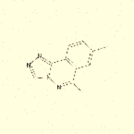 Cc1ccc2c(c1)c(C)nn1cnnc21